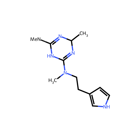 CNC1=NC(C)N=C(N(C)CCc2cc[nH]c2)N1